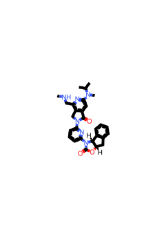 CNCc1nc(N(C)C(C)C)cc2c1CN(c1cccc(N3C(=O)O[C@H]4Cc5ccccc5[C@H]43)n1)C2=O